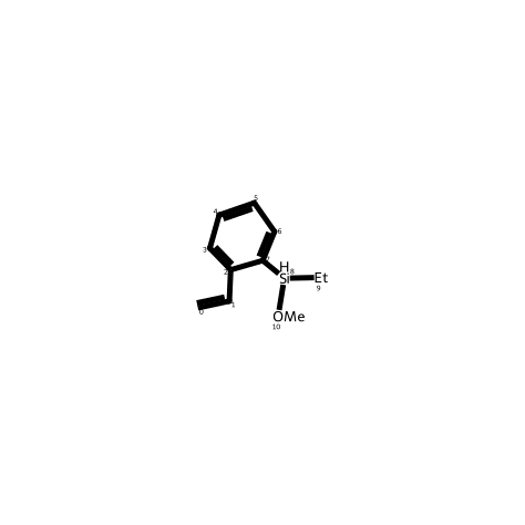 C=Cc1ccccc1[SiH](CC)OC